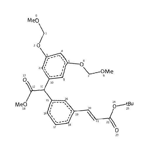 COCOc1cc(OCOC)cc(C(C(=O)OC)c2cccc(C=CC(=O)OC(C)(C)C)c2)c1